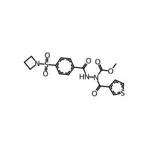 COC(=O)N(NC(=O)c1ccc(S(=O)(=O)N2CCC2)cc1)C(=O)c1ccsc1